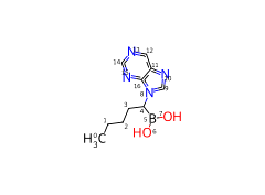 CCCCC(B(O)O)n1cnc2cncnc21